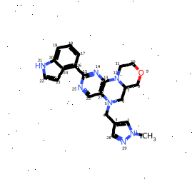 Cn1cc(CN2CC3COCCN3c3nc(-c4cccc5[nH]ccc45)ncc32)cn1